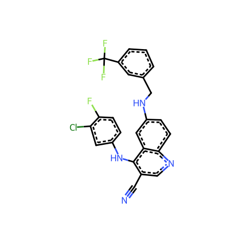 N#Cc1cnc2ccc(NCc3cccc(C(F)(F)F)c3)cc2c1Nc1ccc(F)c(Cl)c1